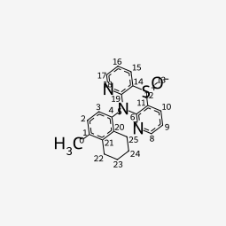 Cc1ccc(N2c3ncccc3[S+]([O-])c3cccnc32)c2c1CCCC2